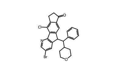 O=C1CCc2c1cc1c(c2Cl)-c2ncc(Br)cc2C1C(c1ccccc1)C1CCOCC1